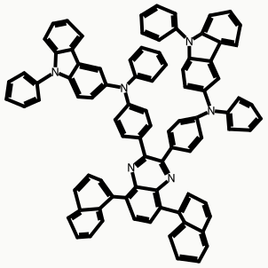 c1ccc(N(c2ccc(-c3nc4c(-c5cccc6ccccc56)ccc(-c5cccc6ccccc56)c4nc3-c3ccc(N(c4ccccc4)c4ccc5c(c4)c4ccccc4n5-c4ccccc4)cc3)cc2)c2ccc3c(c2)c2ccccc2n3-c2ccccc2)cc1